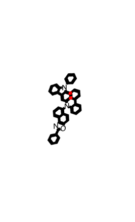 c1ccc(-c2nc3c(ccc4c(N(c5ccc6c(c5)c5ccccc5n6-c5ccccc5)c5ccccc5-c5ccccc5)cccc43)o2)cc1